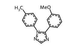 COc1cccc(-c2ncnn2-c2ccc(C)cc2)c1